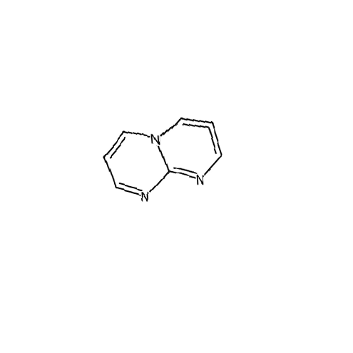 C1=CN=C2N=CC=CN2C=1